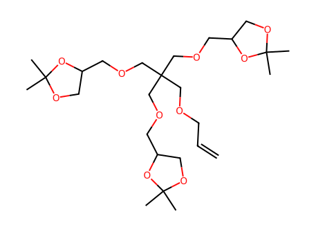 C=CCOCC(COCC1COC(C)(C)O1)(COCC1COC(C)(C)O1)COCC1COC(C)(C)O1